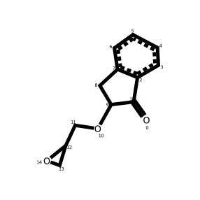 O=C1c2ccccc2CC1OCC1CO1